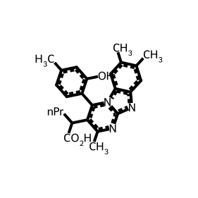 CCCC(C(=O)O)c1c(C)nc2nc3cc(C)c(C)cc3n2c1-c1ccc(C)cc1O